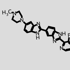 CN1CCN(c2ccc3[nH]c(-c4ccc5[nH]c(-c6ncccc6F)nc5c4)nc3c2)CC1